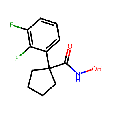 O=C(NO)C1(c2cccc(F)c2F)CCCC1